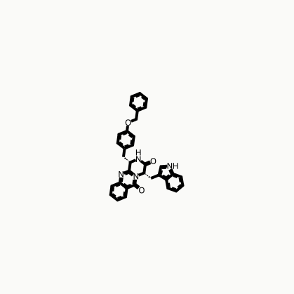 O=C1N[C@@H](Cc2ccc(OCc3ccccc3)cc2)c2nc3ccccc3c(=O)n2[C@H]1Cc1c[nH]c2ccccc12